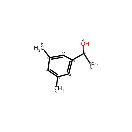 C[C](C)C(O)c1cc(C)cc(C)c1